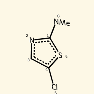 CNc1ncc(Cl)s1